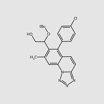 Cc1cc2c(ccc3nnnn32)c(-c2ccc(Cl)cc2)c1C(CO)OC(C)(C)C